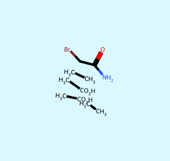 CC.CC.CC(=O)O.CC(=O)O.NC(=O)CBr